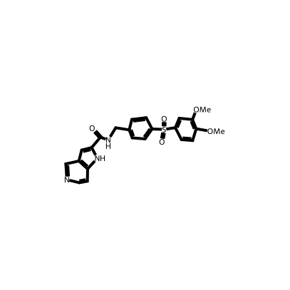 COc1ccc(S(=O)(=O)c2ccc(CNC(=O)c3cc4cnccc4[nH]3)cc2)cc1OC